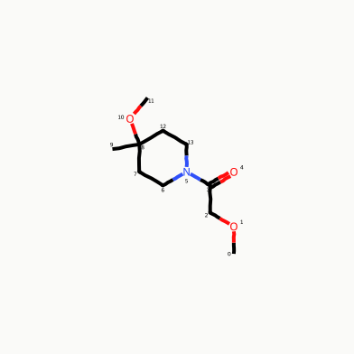 COCC(=O)N1CCC(C)(OC)CC1